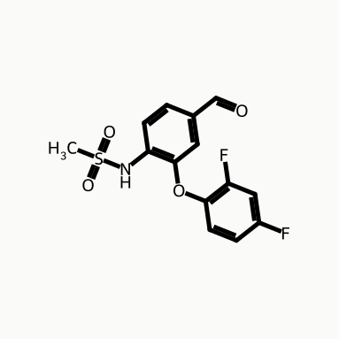 CS(=O)(=O)Nc1ccc(C=O)cc1Oc1ccc(F)cc1F